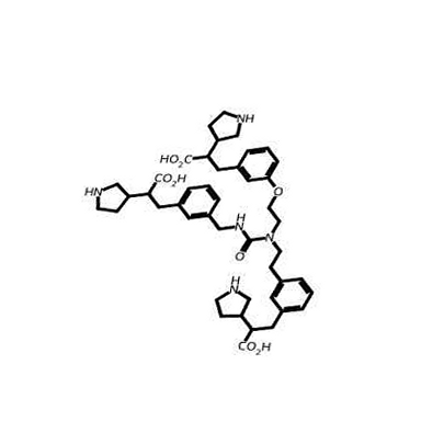 O=C(O)C(Cc1cccc(CCN(CCOc2cccc(CC(C(=O)O)C3CCNC3)c2)C(=O)NCc2cccc(CC(C(=O)O)C3CCNC3)c2)c1)C1CCNC1